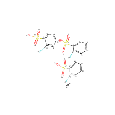 O=S(=O)([O-])c1ccccc1F.O=S(=O)([O-])c1ccccc1F.O=S(=O)([O-])c1ccccc1F.[Yb+3]